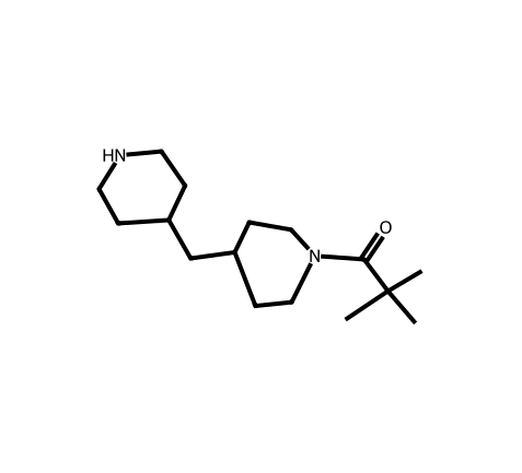 CC(C)(C)C(=O)N1CCC(CC2CCNCC2)CC1